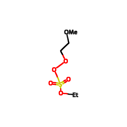 CCOS(=O)(=O)OOCCOC